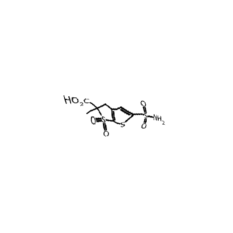 CC1(C(=O)O)Cc2cc(S(N)(=O)=O)sc2S1(=O)=O